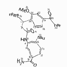 CCCCCC(CC(=O)Nc1cc(C(N)=O)ccc1C(C)(C)C)c1ccc(C(=O)CCC)cc1OC